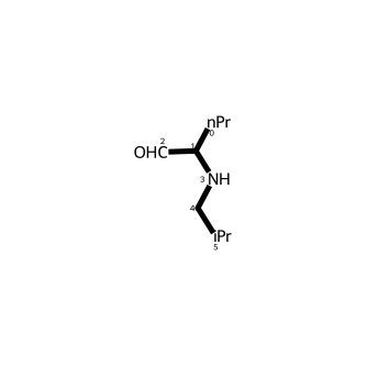 CCCC(C=O)NCC(C)C